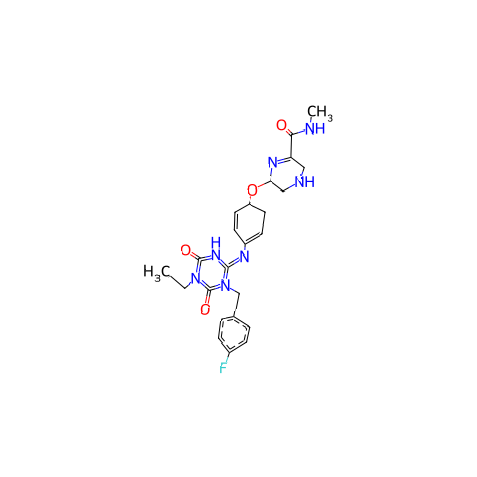 CCn1c(=O)[nH]/c(=N\C2=CCC(OC3CNCC(C(=O)NC)=N3)C=C2)n(Cc2ccc(F)cc2)c1=O